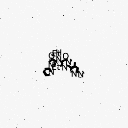 CCO[C@H]1CN(c2ccccn2)C[C@H]1Nc1c(CC)nc(-c2cnc(N(C)C)cc2C)n(C)c1=O